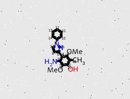 COc1c(N)c(-c2ccn(-c3ccccc3)n2)c(OC)c(C)c1O